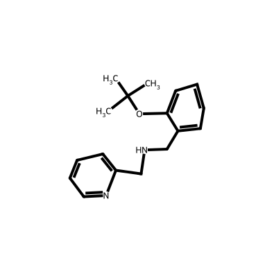 CC(C)(C)Oc1ccccc1CNCc1ccccn1